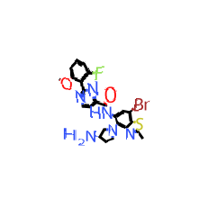 COc1cccc(F)c1-c1nccc(C(=O)Nc2cc(Br)c3sc(C)nc3c2N2CC[C@H](N)C2)n1